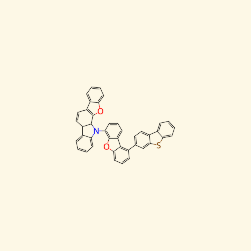 C1=CC2c3ccccc3N(c3cccc4c3oc3cccc(-c5ccc6c(c5)sc5ccccc56)c34)C2c2oc3ccccc3c21